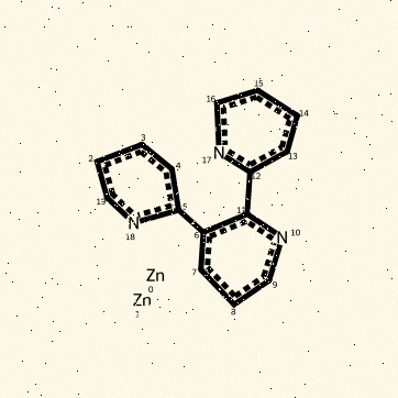 [Zn].[Zn].c1ccc(-c2cccnc2-c2ccccn2)nc1